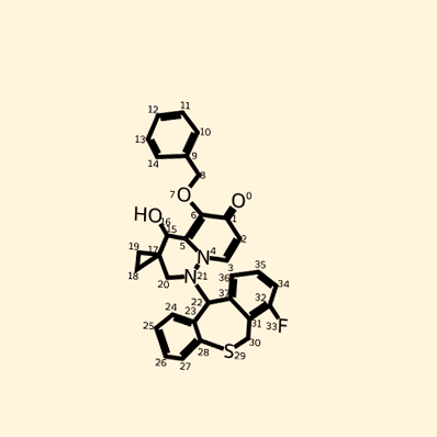 O=c1ccn2c(c1OCc1ccccc1)C(O)C1(CC1)CN2C1c2ccccc2SCc2c(F)cccc21